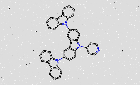 c1ccc2c(c1)c1ccccc1n2-c1ccc2c(c1)c1cc(-n3c4ccccc4c4ccccc43)ccc1n2-c1ccncc1